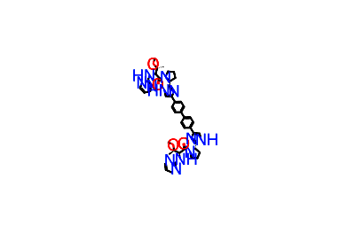 CO[C@H](C)[C@H](Nc1ncccn1)C(=O)N1CCC[C@H]1c1nc(-c2ccc(-c3ccc(-c4c[nH]c([C@@H]5CCCN5C(=O)[C@@H](Nc5ncccn5)[C@@H](C)OC)n4)cc3)cc2)c[nH]1